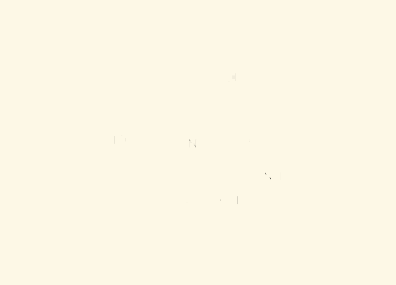 CCCCC(N)CO.OCCN(CCO)CCO